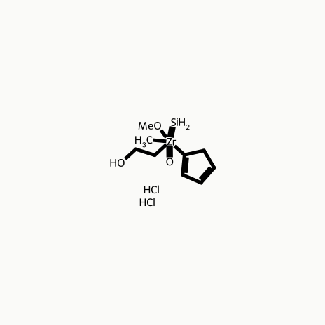 C[O][Zr]([CH3])(=[O])(=[SiH2])([CH2]CO)[C]1=CC=CC1.Cl.Cl